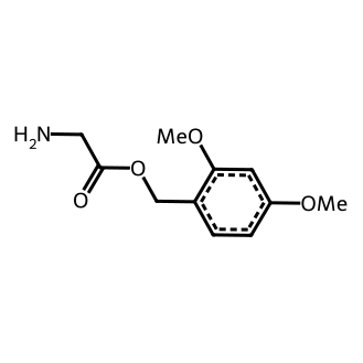 COc1ccc(COC(=O)CN)c(OC)c1